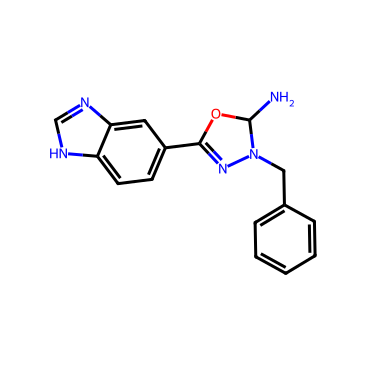 NC1OC(c2ccc3[nH]cnc3c2)=NN1Cc1ccccc1